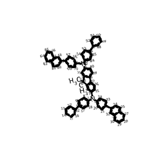 CC1(C)c2cc(N(c3ccc(-c4ccccc4)cc3)c3ccc(-c4ccc5ccccc5c4)cc3)ccc2-c2ccc(N(c3ccc(-c4ccccc4)cc3)c3ccc(-c4ccc5ccccc5c4)cc3)cc21